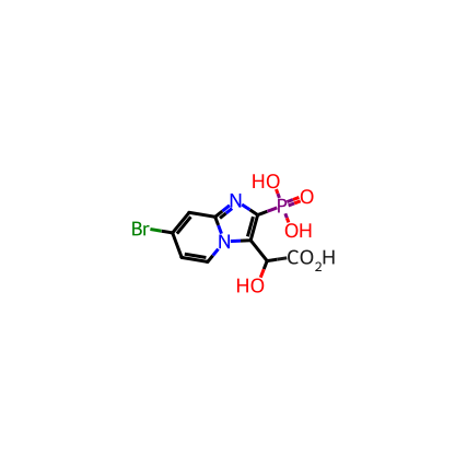 O=C(O)C(O)c1c(P(=O)(O)O)nc2cc(Br)ccn12